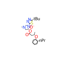 CCCc1ccccc1OC(C)CC(=O)OC1CN(C)C[N+]1([O-])c1nnc(C(C)(C)C)s1